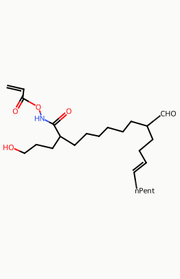 C=CC(=O)ONC(=O)C(CCCO)CCCCCCC(C=O)CCC=CCCCCC